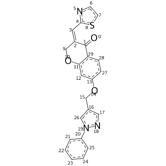 O=C1C(=Cc2nccs2)COc2cc(OCc3cnn(-c4ccccc4)c3)ccc21